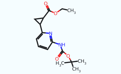 CCOC(=O)C1CC1c1cccc(NC(=O)OC(C)(C)C)n1